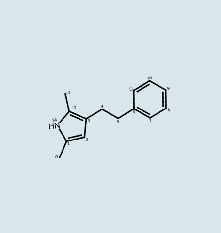 Cc1cc(CCc2ccccc2)c(C)[nH]1